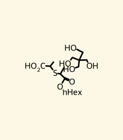 CCCCCCOC(=O)C(C)SC(C)C(=O)O.OCC(CO)(CO)CO